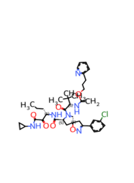 C=C(N[C@H](C(=O)N1C[C@@]2(CC(c3cccc(Cl)c3)=NO2)C[C@H]1C(=O)N[C@@H](CCC)C(=O)C(=O)NC1CC1)C(C)(C)C)OCCCc1ccccn1